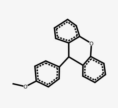 COc1ccc(C2c3ccccc3Oc3ccccc32)cc1